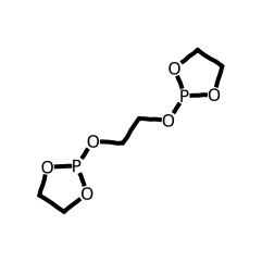 C1COP(OCCOP2OCCO2)O1